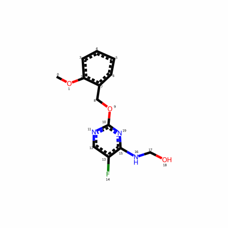 COc1ccccc1COc1ncc(F)c(NCO)n1